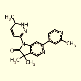 Cc1cc(-c2cc3c(cn2)C(C)(C)C(=O)N3C2=NNC(C)C=C2)ccn1